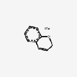 C1=Cc2ccccc2OC1.[Mn]